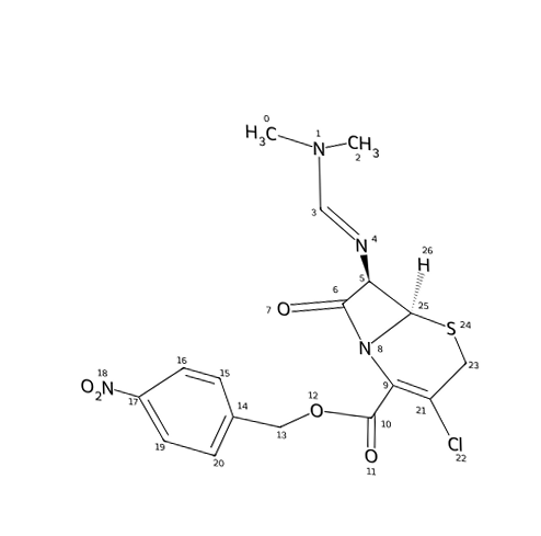 CN(C)/C=N/[C@@H]1C(=O)N2C(C(=O)OCc3ccc([N+](=O)[O-])cc3)=C(Cl)CS[C@H]12